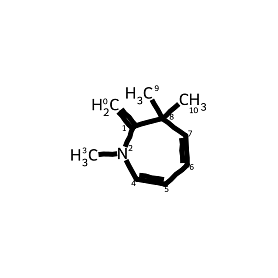 C=C1N(C)C=CC=CC1(C)C